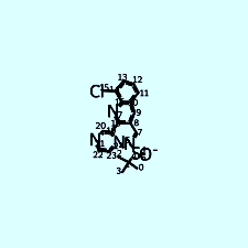 CC(C)(C)[S+]([O-])/N=C/c1cc2cccc(Cl)c2nc1-c1cnccn1